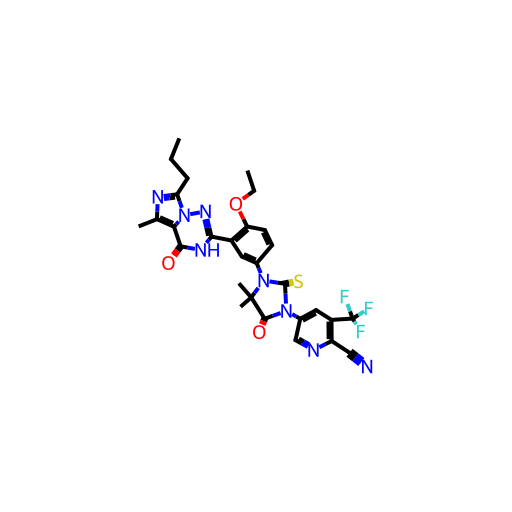 CCCc1nc(C)c2c(=O)[nH]c(-c3cc(N4C(=S)N(c5cnc(C#N)c(C(F)(F)F)c5)C(=O)C4(C)C)ccc3OCC)nn12